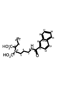 CC(C)CC(C(=O)O)N(CCCNC(=O)c1ccc2ccccc2c1)C(=O)O